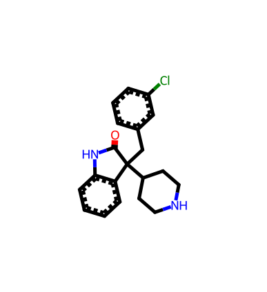 O=C1Nc2ccccc2C1(Cc1cccc(Cl)c1)C1CCNCC1